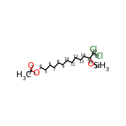 CC(=O)OCCCCCCCCCCCC(O[SiH3])C(Cl)Cl